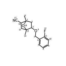 CC12CC(OCc3ccccc3F)C(C)(CC1C#N)O2